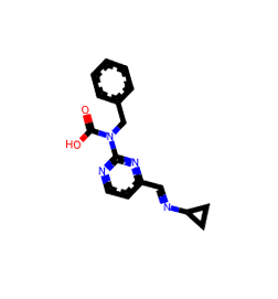 O=C(O)N(Cc1ccccc1)c1nccc(C=NC2CC2)n1